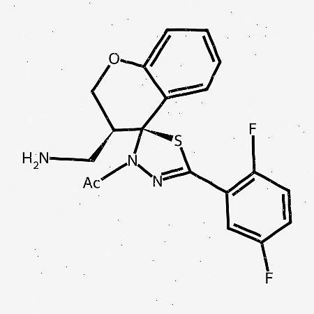 CC(=O)N1N=C(c2cc(F)ccc2F)S[C@@]12c1ccccc1OC[C@@H]2CN